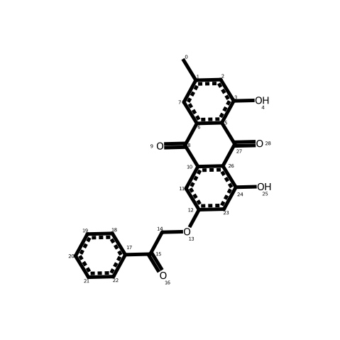 Cc1cc(O)c2c(c1)C(=O)c1cc(OCC(=O)c3ccccc3)cc(O)c1C2=O